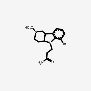 NC(=O)CCN1c2c(Br)cccc2C2CN(C(=O)O)CCC21